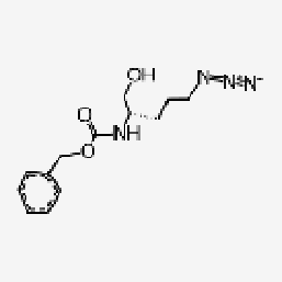 [N-]=[N+]=NCCC[C@@H](CO)NC(=O)OCc1ccccc1